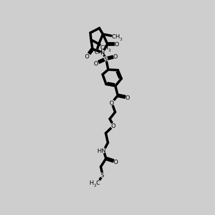 CSCC(=O)NCCOCCOC(=O)C1=CCC(S(=O)(=O)N2C(=O)C3CCC(C)(C2=O)C3(C)C)C=C1